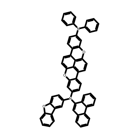 c1ccc(N(c2ccccc2)c2ccc3c(c2)Oc2ccc4c5c(ccc-3c25)Oc2cc(N(c3ccc5oc6ccccc6c5c3)c3cc5ccccc5c5ccccc35)ccc2-4)cc1